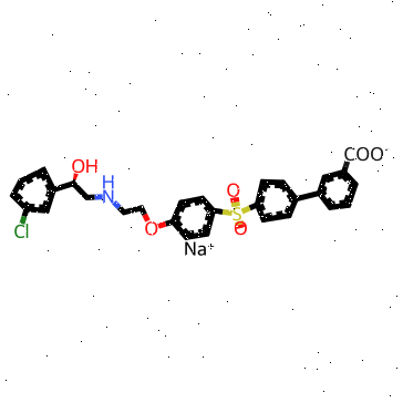 O=C([O-])c1cccc(-c2ccc(S(=O)(=O)c3ccc(OCCNC[C@H](O)c4cccc(Cl)c4)cc3)cc2)c1.[Na+]